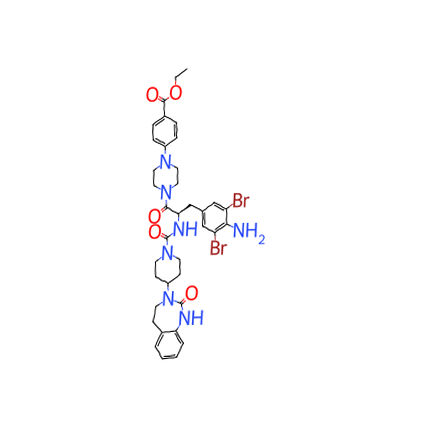 CCOC(=O)c1ccc(N2CCN(C(=O)[C@@H](Cc3cc(Br)c(N)c(Br)c3)NC(=O)N3CCC(N4CCc5ccccc5NC4=O)CC3)CC2)cc1